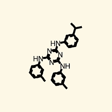 Cc1cccc(Nc2nc(Nc3cccc(C)c3)nc(Nc3cccc(C(C)C)c3)n2)c1